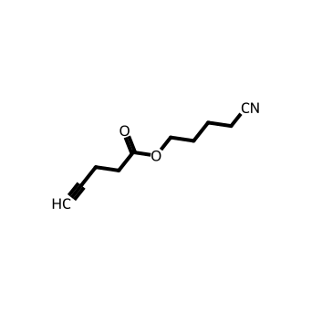 C#CCCC(=O)OCCCCC#N